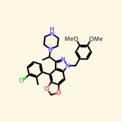 COc1ccc(Cn2nc(C(C)N3CCNCC3)c3c(-c4cccc(Cl)c4C)c4c(cc32)OCO4)cc1OC